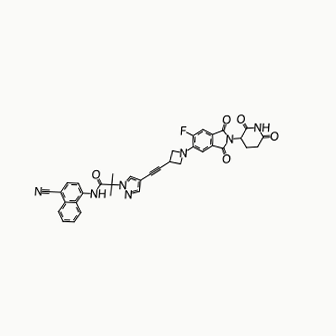 CC(C)(C(=O)Nc1ccc(C#N)c2ccccc12)n1cc(C#CC2CN(c3cc4c(cc3F)C(=O)N(C3CCC(=O)NC3=O)C4=O)C2)cn1